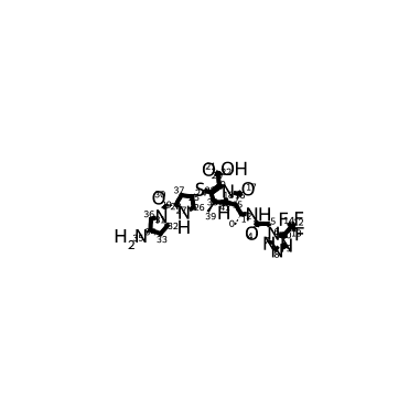 C[C@@H](NC(=O)Cn1nnnc1C(F)(F)F)[C@H]1C(=O)N2C(C(=O)O)=C(S[C@@H]3CN[C@H](C(=O)N4CC[C@@H](N)C4)C3)[C@H](C)[C@H]12